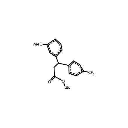 COc1cccc(C(CC(=O)OC(C)(C)C)c2ccc(C(F)(F)F)cc2)c1